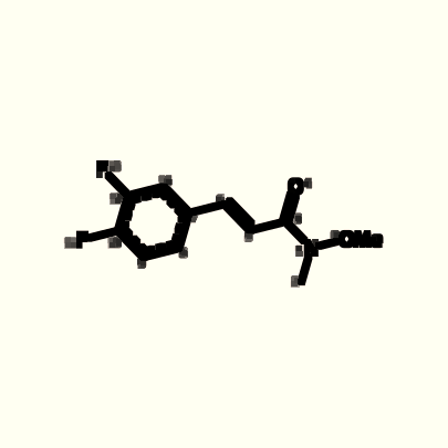 CON(C)C(=O)C=Cc1ccc(F)c(F)c1